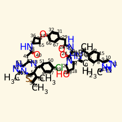 C=C(N[C@@H](C)c1ccc(-c2cnnn2C)cc1)[C@@H]1C[C@@H](O)CN1C(=O)[C@@H](NC(=O)Cc1ccc(OC2CC(NC(=O)C[C@@H]3N=C(c4ccc(Cl)cc4)c4c(sc(C)c4C)-n4c(C)nnc43)C2)cc1)C(C)(C)C